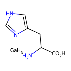 NC(Cc1c[nH]cn1)C(=O)O.[GaH3]